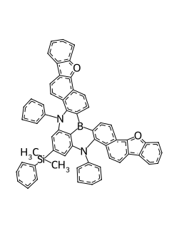 C[Si](C)(c1ccccc1)c1cc2c3c(c1)N(c1ccccc1)c1c(ccc4c1ccc1c5ccccc5oc41)B3c1ccc3c(ccc4c5ccccc5oc34)c1N2c1ccccc1